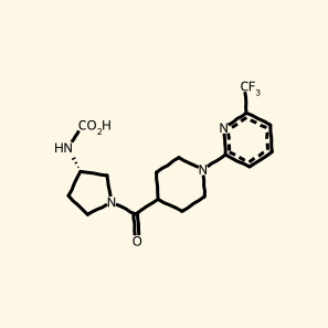 O=C(O)N[C@H]1CCN(C(=O)C2CCN(c3cccc(C(F)(F)F)n3)CC2)C1